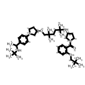 CC(NC(C)(C)C)c1ccc(N2CC[C@@H](OCC(C)(C)CCC(C)(C)N[C@@H]3CCN(C(=O)c4ccccc4OCC(C)(C)C)C3)C2)cc1